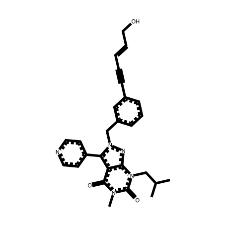 CC(C)Cn1c(=O)n(C)c(=O)c2c(-c3ccncc3)n(Cc3cccc(C#C/C=C/CO)c3)nc21